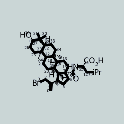 C=C(CBr)[C@@H]1CC[C@]2(C(=O)N[C@@H](CC(C)C)C(=O)O)CC[C@]3(C)[C@H](CCC4[C@@]5(C)CC[C@H](O)C(C)(C)[C@@H]5CC[C@]43C)[C@@H]12